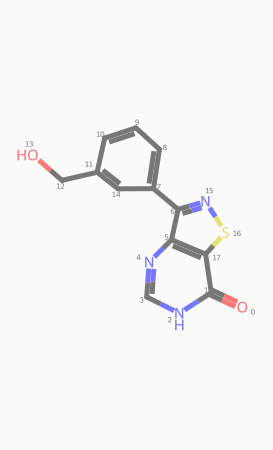 O=c1[nH]cnc2c(-c3cccc(CO)c3)nsc12